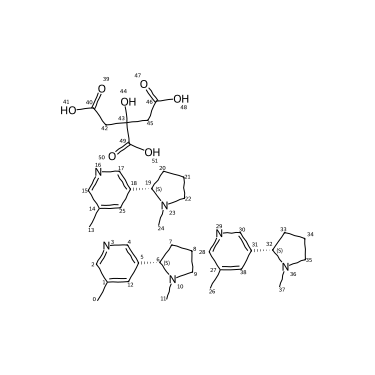 Cc1cncc([C@@H]2CCCN2C)c1.Cc1cncc([C@@H]2CCCN2C)c1.Cc1cncc([C@@H]2CCCN2C)c1.O=C(O)CC(O)(CC(=O)O)C(=O)O